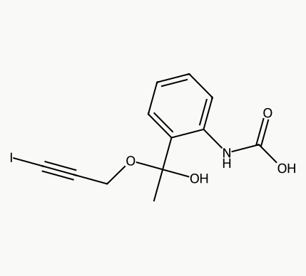 CC(O)(OCC#CI)c1ccccc1NC(=O)O